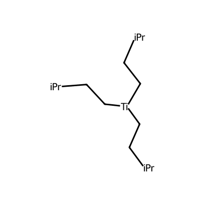 CC(C)C[CH2][Ti]([CH2]CC(C)C)[CH2]CC(C)C